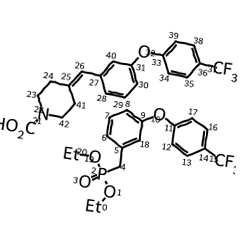 CCOP(=O)(Cc1cccc(Oc2ccc(C(F)(F)F)cc2)c1)OCC.O=C(O)N1CCC(=Cc2cccc(Oc3ccc(C(F)(F)F)cc3)c2)CC1